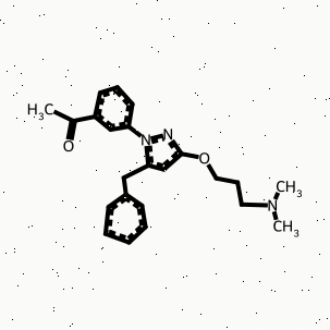 CC(=O)c1cccc(-n2nc(OCCCN(C)C)cc2Cc2ccccc2)c1